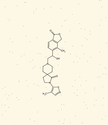 Cc1cnsc1N1CCC2(CCN(CC(O)c3ccc4c(c3C)COC4=O)CC2)C1=O